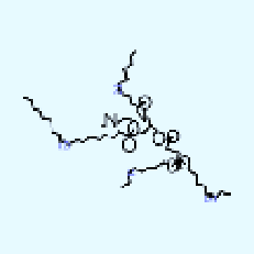 CC/C=C\CCCCOC(CCC(=O)OCC(COC(=O)CCCCCCC/C=C\CCCCCCCC)CN(CCCN(C)C)C(=O)CC/C=C\CCCCC)OCCCC/C=C\CC